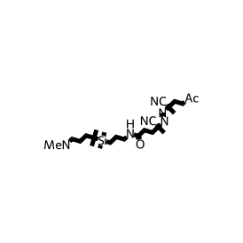 CNCCCC(C)(C)[Si](C)(C)CCCNC(=O)CCC(C)(C#N)N=NC(C)(C#N)CCC(C)=O